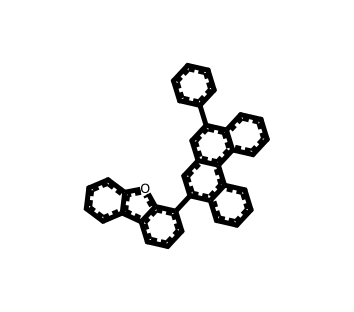 c1ccc(-c2cc3cc(-c4cccc5c4oc4ccccc45)c4ccccc4c3c3ccccc23)cc1